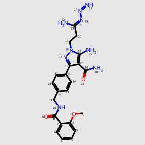 COc1ccccc1C(=O)NCc1ccc(-c2nn(CC/C(N)=N/N=N)c(N)c2C(N)=O)cc1